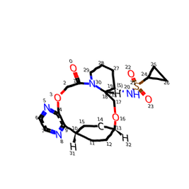 O=C1COc2nccnc2[C@H]2CC[C@H](CC2)OC[C@H]2[C@@H](NS(=O)(=O)C3CC3)CCCN12